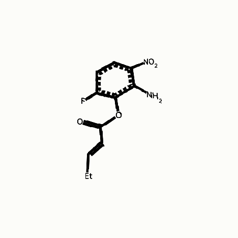 CCC=CC(=O)Oc1c(F)ccc([N+](=O)[O-])c1N